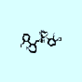 Fc1ccccc1-c1ncccc1CNc1nnnn1-c1cccc(Cl)c1Cl